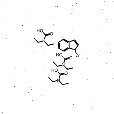 CCN(CC)C(=O)O.CCN(CC)C(=O)O.CCN(CC)C(=O)O.[Zr][CH]1C=Cc2ccccc21